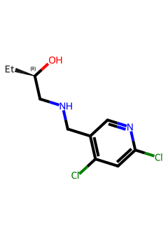 CC[C@@H](O)CNCc1cnc(Cl)cc1Cl